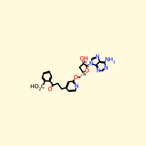 Nc1ncnc2c1ncn2[C@@H]1O[C@H](COc2cc(CCC(=O)c3ccccc3C(=O)O)ccn2)C[C@H]1O